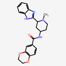 CN1CCC(NC(=O)c2ccc3c(c2)OCCO3)CC1c1nc2ccccc2[nH]1